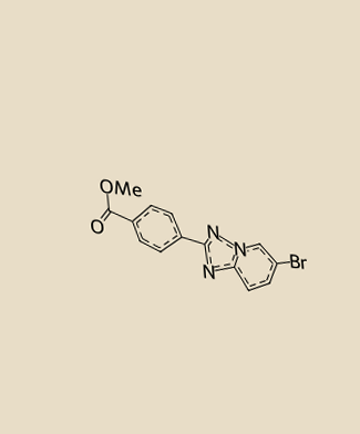 COC(=O)c1ccc(-c2nc3ccc(Br)cn3n2)cc1